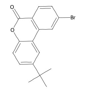 CC(C)(C)c1ccc2oc(=O)c3ccc(Br)cc3c2c1